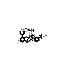 COc1cc(-c2cc(F)cc(C(C)C)c2CC(=O)NS(=O)(=O)c2cccc(C(C)(C)O)c2)ccn1